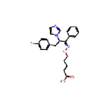 O=C(O)CCCCON=C(c1ccccc1)C(Cc1ccc(Cl)cc1)n1ccnc1